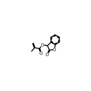 C=C(C)C(=O)OC1C(=O)Oc2ccccc21